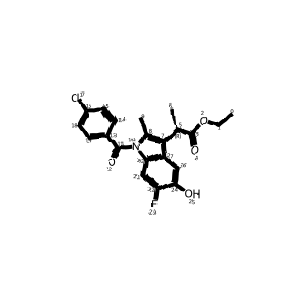 CCOC(=O)[C@H](C)c1c(C)n(C(=O)c2ccc(Cl)cc2)c2cc(F)c(O)cc12